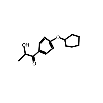 CC(O)C(=O)c1ccc(OC2CCCCC2)cc1